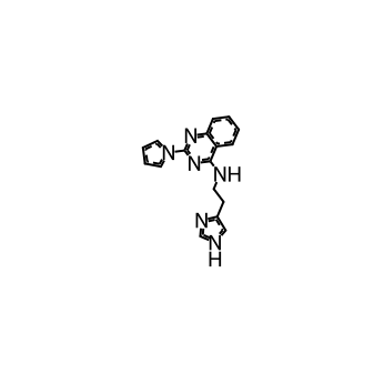 c1ccc2c(NCCc3c[nH]cn3)nc(-n3cccc3)nc2c1